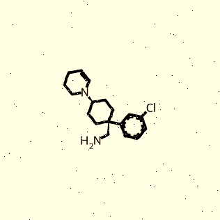 NC[C@]1(c2cccc(Cl)c2)CC[C@H](N2C=CCCC2)CC1